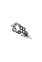 CC(C)(C)OC(=O)N1CCCN(Cc2ccc([C@H]3C[C@@]4(C)C(CC[C@]4(O)C(F)(F)C(F)(F)F)C4CCC5=CC(=O)CCC5=C43)cc2)CC1